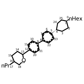 CCCCCC[C@H]1CC[C@H](c2ccc(-c3ccc(C4CCC(CCC)CO4)cc3)cc2)CC1